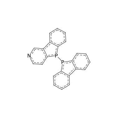 c1ccc2c(c1)c1ccccc1p2-p1c2ccccc2c2cnccc21